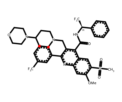 COc1cc2nc(-c3cccc(C(F)(F)F)c3)c(CN3CCC(N4CCOCC4)CC3)c(C(=O)N[C@H](c3ccccc3)C(F)(F)F)c2cc1S(C)(=O)=O